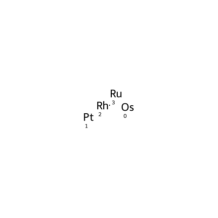 [Os].[Pt].[Rh].[Ru]